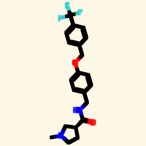 CN1CC[C@H](C(=O)NCc2ccc(OCc3ccc(C(F)(F)F)cc3)cc2)C1